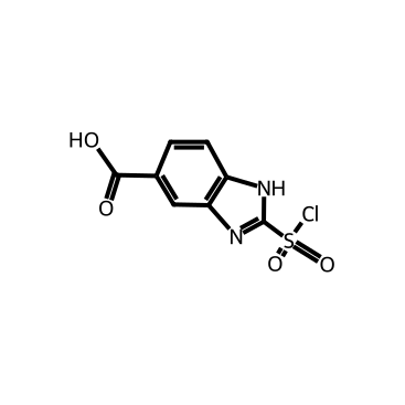 O=C(O)c1ccc2[nH]c(S(=O)(=O)Cl)nc2c1